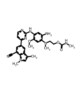 CNC(=O)OCCN(C)c1cc(OC)c(Nc2nccc(-c3cc(C#N)c4c(c3)c(C)cn4C)n2)cc1N